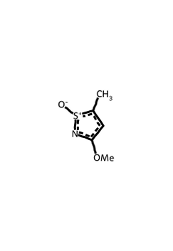 COc1cc(C)[s+]([O-])n1